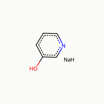 Oc1cccnc1.[NaH]